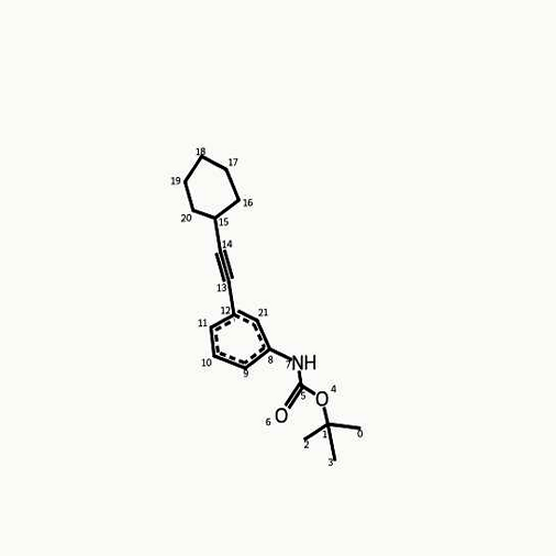 CC(C)(C)OC(=O)Nc1cccc(C#CC2CCCCC2)c1